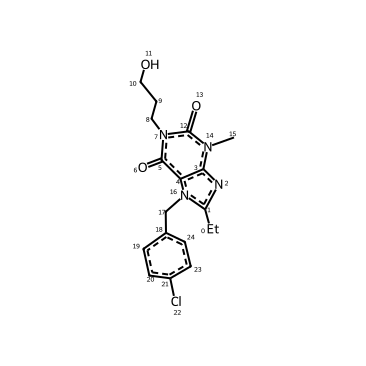 CCc1nc2c(c(=O)n(CCCO)c(=O)n2C)n1Cc1ccc(Cl)cc1